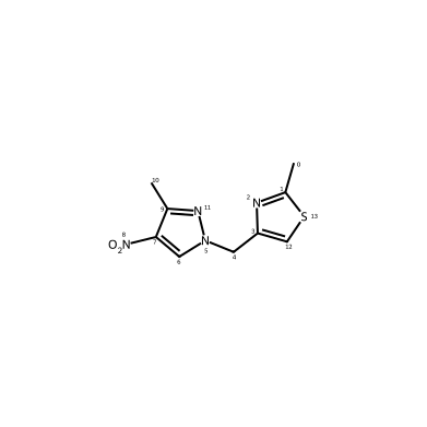 Cc1nc(Cn2cc([N+](=O)[O-])c(C)n2)cs1